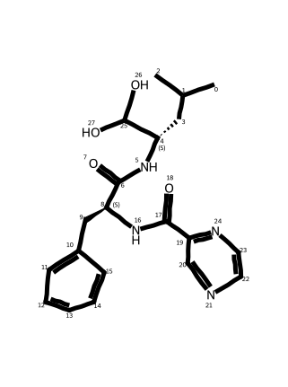 CC(C)C[C@H](NC(=O)[C@H](Cc1ccccc1)NC(=O)c1cnccn1)C(O)O